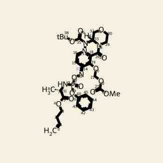 C=CCCOC(=O)[C@H](C)NP(=O)(O/N=c1\ccn2c(c1OCOC(=O)OC)C(=O)N1CCOC[C@H]1N2C(=O)OC(C)(C)C)Oc1ccccc1